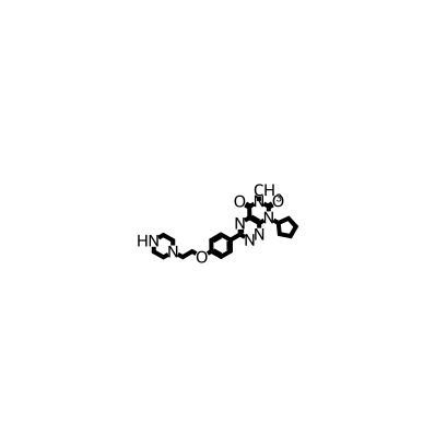 Cn1c(=O)c2nc(-c3ccc(OCCN4CCNCC4)cc3)nnc2n(C2CCCC2)c1=O